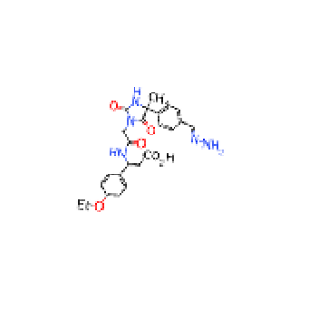 CCOc1ccc(C(CC(=O)O)NC(=O)CN2C(=O)NC(C)(c3ccc(C=NN)cc3)C2=O)cc1